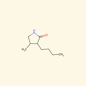 CCCCC1C(=O)NCC1C